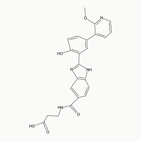 COc1ncccc1-c1ccc(O)c(-c2nc3cc(C(=O)NCCC(=O)O)ccc3[nH]2)c1